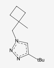 CC1(Cn2cc(C(C)(C)C)nn2)CCC1